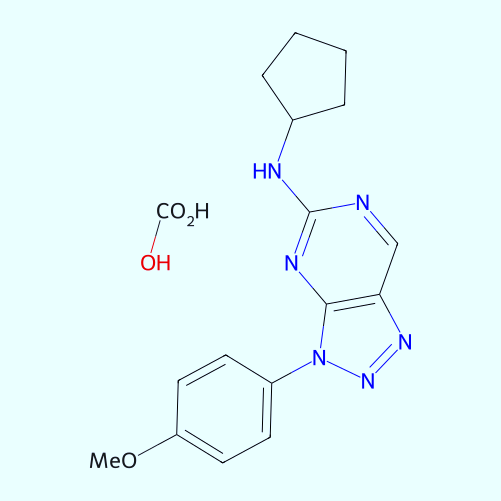 COc1ccc(-n2nnc3cnc(NC4CCCC4)nc32)cc1.O=C(O)O